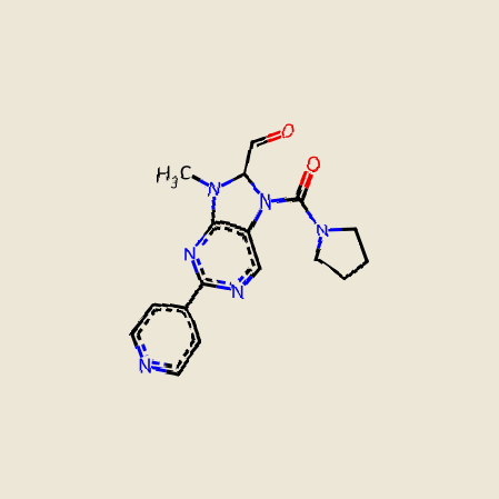 CN1c2nc(-c3ccncc3)ncc2N(C(=O)N2CCCC2)C1C=O